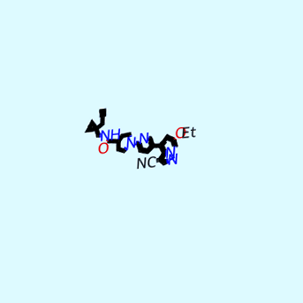 C#CCC1(CNC(=O)C2CCN(c3ccc(-c4cc(OCC)cn5ncc(C#N)c45)cn3)CC2)CC1